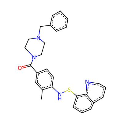 Cc1cc(C(=O)N2CCN(Cc3ccccc3)CC2)ccc1NSc1cccc2cccnc12